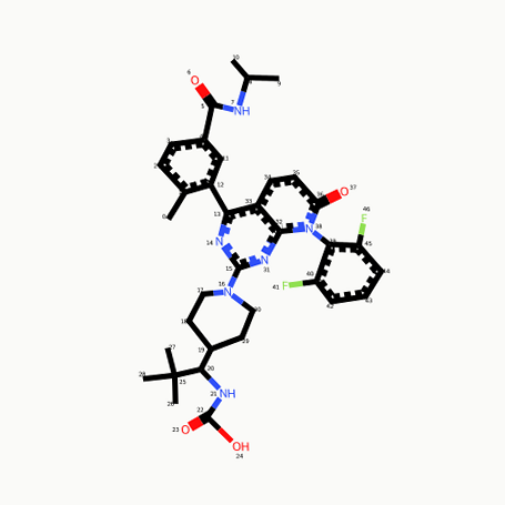 Cc1ccc(C(=O)NC(C)C)cc1-c1nc(N2CCC(C(NC(=O)O)C(C)(C)C)CC2)nc2c1ccc(=O)n2-c1c(F)cccc1F